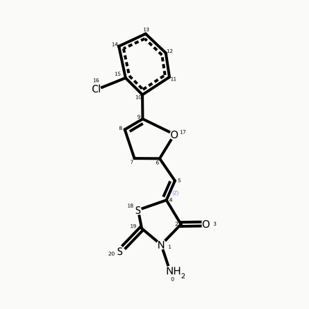 NN1C(=O)/C(=C/C2CC=C(c3ccccc3Cl)O2)SC1=S